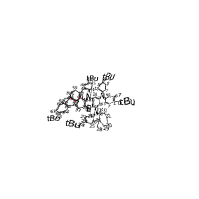 CC(C)(C)c1ccc(N(c2ccc(C(C)(C)C)cc2)c2cc3c4c(c2)N2c5c(cc(C(C)(C)C)cc5C5(C)CCCCC25C)B4c2cc4c(cc2N3c2ccc(C(C)(C)C)cc2-c2ccccc2)C(C)(C)c2ccc(C(C)(C)C)cc2-4)cc1